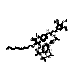 CCCCCCCCOc1c(O[C@@H]2O[C@H](COC(C)=O)[C@@H](OC(C)=O)[C@H](OC(C)=O)[C@H]2OC(C)=O)c2ccc(NC(=O)C=Cc3cc(OC)c(O)c(OC)c3)cc2n(C)c1=O